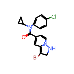 O=C(C1=CC2=C(Br)CNN2C=C1)N(c1ccc(Cl)cc1)C1CC1